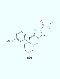 CCCCN1CCC2(c3cccc(OC)c3)C=C3NC(C(=O)N(CC)CC)C(C)C3CC2C1